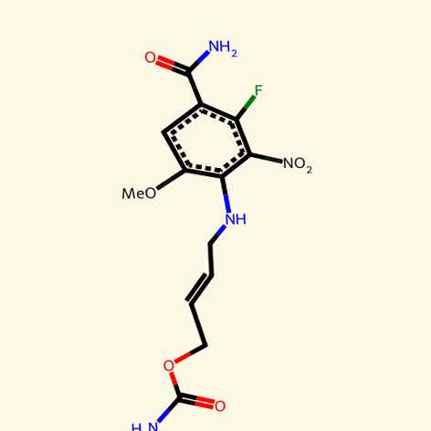 COc1cc(C(N)=O)c(F)c([N+](=O)[O-])c1NCC=CCOC(N)=O